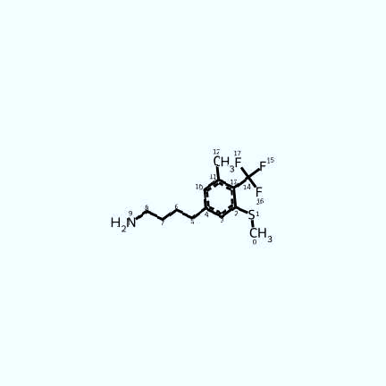 CSc1cc(CCCCN)cc(C)c1C(F)(F)F